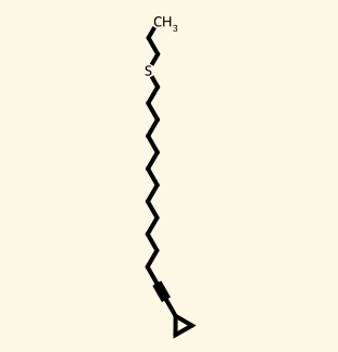 CCCSCCCCCCCCCCCCC#CC1CC1